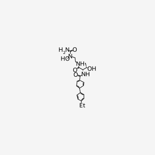 CCc1ccc(-c2ccc(C(=O)N[C@H](C(=O)NCCN(O)C(N)=O)[C@@H](C)O)cc2)cc1